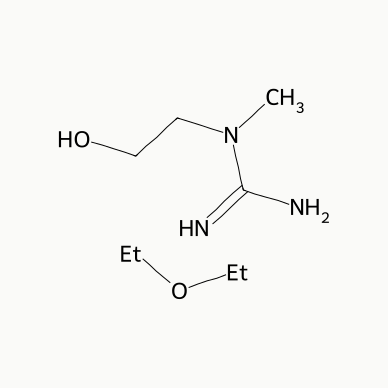 CCOCC.CN(CCO)C(=N)N